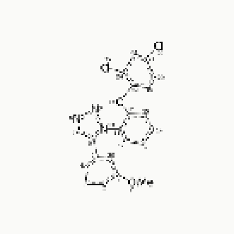 COc1cccc(-c2cnnn2-c2ccccc2Oc2ccc(Cl)cc2Cl)c1